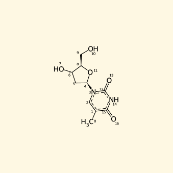 Cc1cn([C@H]2C[C](O)[C@@H](CO)O2)c(=O)[nH]c1=O